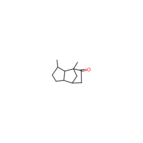 CC1CCC2C3CC(=O)C(C)(C3)C12